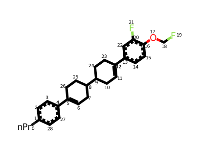 CCCc1ccc(C2=CCC(C3CC=C(c4ccc(OCF)c(F)c4)CC3)CC2)cc1